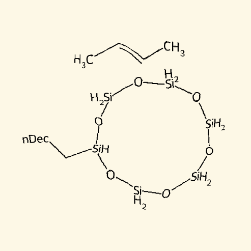 CC=CC.CCCCCCCCCCC[SiH]1O[SiH2]O[SiH2]O[SiH2]O[SiH2]O[SiH2]O1